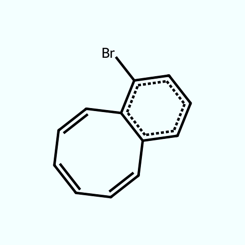 Brc1cccc2c1\C=C/C=C\C=C/2